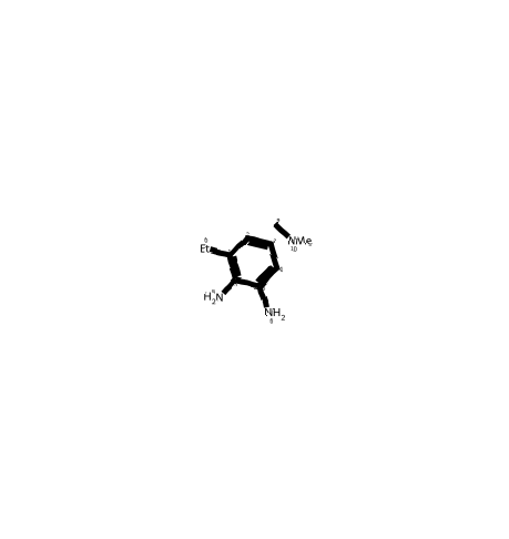 CCc1cccc(N)c1N.CNC